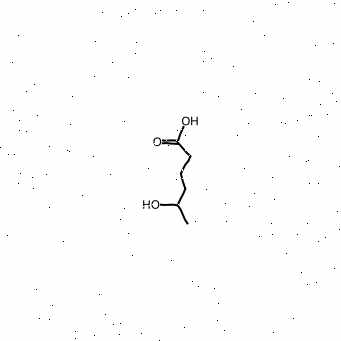 CC(O)C[CH]CC(=O)O